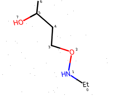 CCNOCCC(C)O